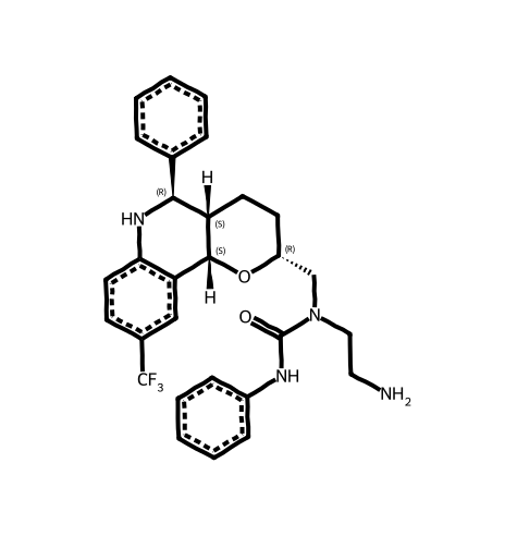 NCCN(C[C@H]1CC[C@@H]2[C@H](O1)c1cc(C(F)(F)F)ccc1N[C@H]2c1ccccc1)C(=O)Nc1ccccc1